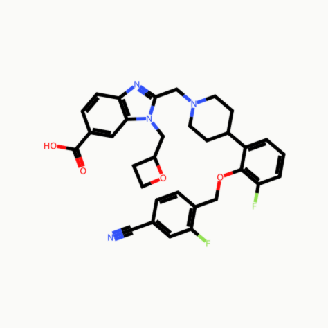 N#Cc1ccc(COc2c(F)cccc2C2CCN(Cc3nc4ccc(C(=O)O)cc4n3CC3CCO3)CC2)c(F)c1